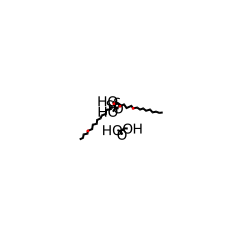 CCCCCCCCCCCCCCSC(O)(SCCCCCCCCCCCCCC)C(=O)O.O=C(O)CO